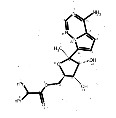 CCCC(CCC)C(=O)OC[C@H]1O[C@@](C)(c2ccc3c(N)ncnn23)[C@H](O)[C@@H]1O